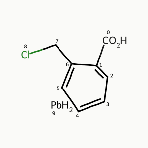 O=C(O)c1ccccc1CCl.[PbH2]